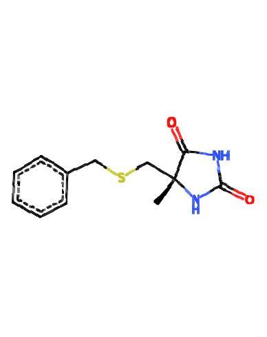 C[C@]1(CSCc2ccccc2)NC(=O)NC1=O